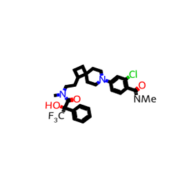 CNC(=O)c1ccc(N2CCC3(CCC3CCN(C)C(=O)C(O)(c3ccccc3)C(F)(F)F)CC2)cc1Cl